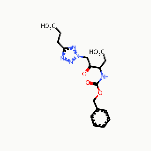 O=C(O)CCc1nnn(CC(=O)C(CC(=O)O)NC(=O)OCc2ccccc2)n1